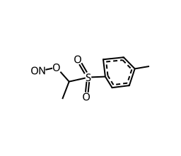 Cc1ccc(S(=O)(=O)C(C)ON=O)cc1